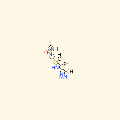 Cc1c(C2CCN(C(=O)[C@@H]3C[C@H](F)CN3)CC2)sc2[nH]c(-c3cc(C)c4ncnn4c3)c(C(C)C)c12